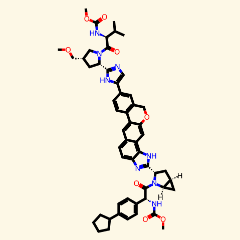 COC[C@H]1C[C@@H](c2ncc(-c3ccc4c(c3)COc3cc5c(ccc6nc([C@@H]7C[C@H]8C[C@H]8N7C(=O)[C@H](NC(=O)OC)c7ccc(C8CCCC8)cc7)[nH]c65)cc3-4)[nH]2)N(C(=O)[C@@H](NC(=O)OC)C(C)C)C1